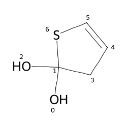 OC1(O)CC=CS1